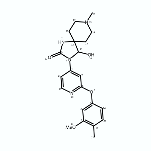 COc1cc(Oc2cc(N3C(=O)NC4(CCN(C)CC4)C3O)ccn2)ccc1C